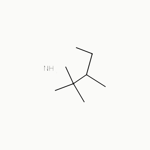 CCC(C)C(C)(C)C.N